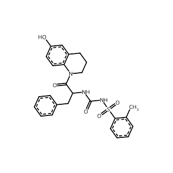 Cc1ccccc1S(=O)(=O)NC(=O)NC(Cc1ccccc1)C(=O)N1CCCc2cc(O)ccc21